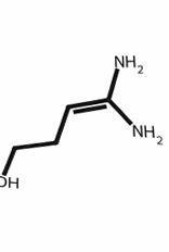 NC(N)=CCCO